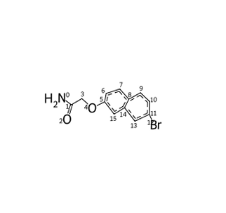 NC(=O)COc1ccc2ccc(Br)cc2c1